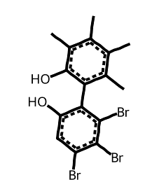 Cc1c(C)c(C)c(-c2c(O)cc(Br)c(Br)c2Br)c(O)c1C